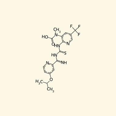 CC(C)Oc1ccnc(C(=N)NC(=S)Nc2ncc(C(F)(F)F)cc2N(C)C(=O)O)c1